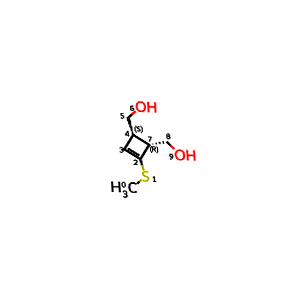 CSC1=C[C@@H](CO)[C@@H]1CO